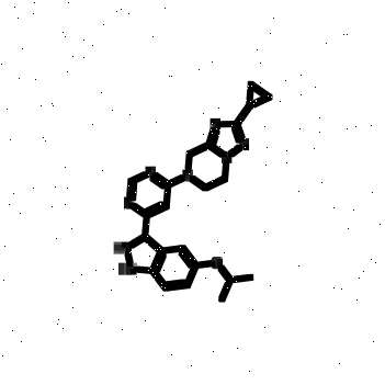 CC(C)Oc1ccc2c(c1)C(c1cc(N3CCn4nc(C5CC5)nc4C3)ncn1)NN2